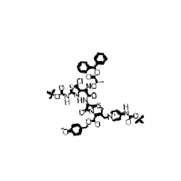 COc1ccc(COC(=O)C2=C(C[n+]3ccc(NC(=O)OC(C)(C)C)cc3)CSC3C(NC(=O)/C(=N\O[C@@H](C)C(=O)OC(c4ccccc4)c4ccccc4)c4nc(NC(=O)OC(C)(C)C)sc4Cl)C(=O)N23)cc1